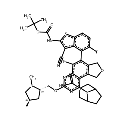 CN1C[C@H](F)C[C@H]1COc1nc(N2C3CCC2CN(C(=O)O)C3)c2c3c(c(-c4c(F)ccc5sc(NC(=O)OC(C)(C)C)c(C#N)c45)c(F)c2n1)COC3